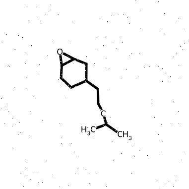 CC(C)CCCC1CCC2OC2C1